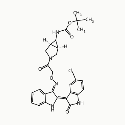 CC(C)(C)OC(=O)NC1[C@H]2CN(C(=O)CO/N=C3/C(=C4/C(=O)Nc5ccc(Cl)cc54)Nc4ccccc43)C[C@@H]12